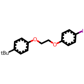 CC(C)(C)c1ccc(OCCOc2ccc(I)cc2)cc1